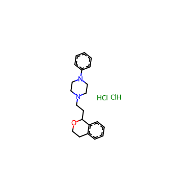 Cl.Cl.c1ccc(N2CCN(CCC3OCCc4ccccc43)CC2)cc1